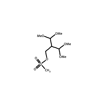 COC(OC)C(COS(C)(=O)=O)C(OC)OC